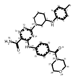 Cc1ccc(NC2CCCN(c3nnc(C(N)=O)c(Nc4ccc(C(=O)N5CCOCC5)cc4)n3)C2)cc1